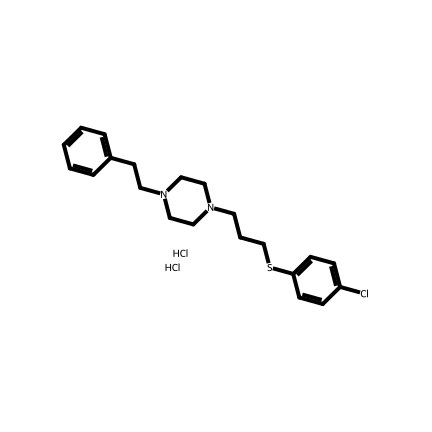 Cl.Cl.Clc1ccc(SCCCN2CCN(CCc3ccccc3)CC2)cc1